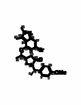 COc1ccc([C@H](C)N2CC([C@@H](C)Oc3cc(Br)cc4nn(C)c(C)c34)CC2=O)cc1